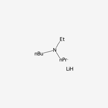 CC[CH]N(CC)CCCC.[LiH]